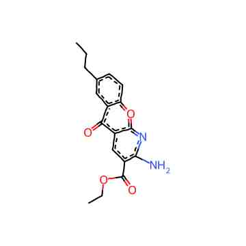 CCCc1ccc2oc3nc(N)c(C(=O)OCC)cc3c(=O)c2c1